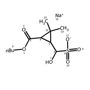 CCCCOC(=O)C1C(C(O)S(=O)(=O)[O-])C1(C)C.[Na+]